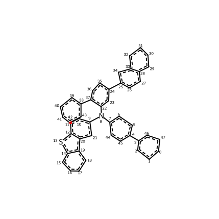 c1ccc(-c2ccc(N(c3ccc4sc5ccccc5c4c3)c3cc(-c4ccc5ccccc5c4)ccc3-c3ccccc3)cc2)cc1